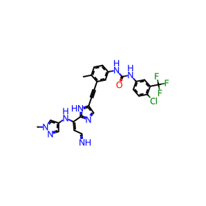 Cc1ccc(NC(=O)Nc2ccc(Cl)c(C(F)(F)F)c2)cc1C#Cc1cnc(/C(=C\C=N)Nc2cnn(C)c2)[nH]1